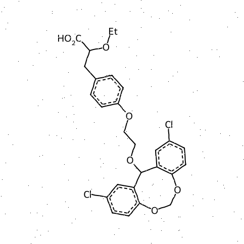 CCOC(Cc1ccc(OCCOC2c3cc(Cl)ccc3OCOc3ccc(Cl)cc32)cc1)C(=O)O